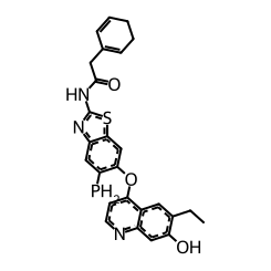 CCc1cc2c(Oc3cc4sc(NC(=O)CC5=CCCC=C5)nc4cc3P)ccnc2cc1O